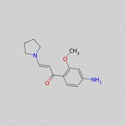 COc1cc(N)ccc1C(=O)C=CN1CCCC1